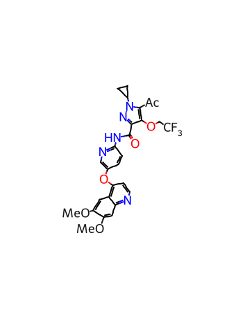 COc1cc2nccc(Oc3ccc(NC(=O)c4nn(C5CC5)c(C(C)=O)c4OCC(F)(F)F)nc3)c2cc1OC